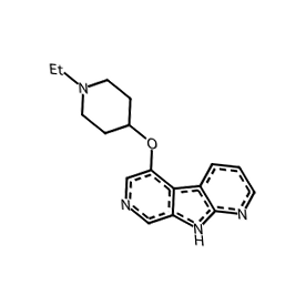 CCN1CCC(Oc2cncc3[nH]c4ncccc4c23)CC1